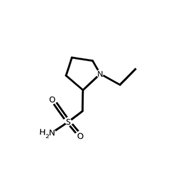 CCN1CCCC1CS(N)(=O)=O